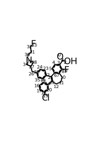 O=C(O)c1ccc2c(c1F)CCCC(c1cccc(Cl)c1)=C2c1ccc(CC2CN(CCCF)C2)cc1